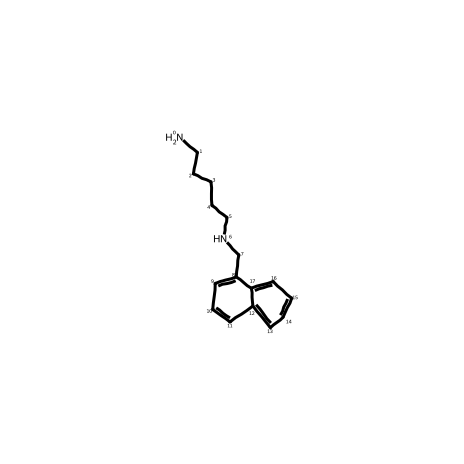 NCCCCCNCc1cccc2ccccc12